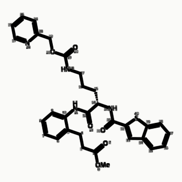 COC(=O)CCc1ccccc1NC(=O)[C@H](CCCNC(=O)OCc1ccccn1)NC(=O)c1cc2ccccc2s1